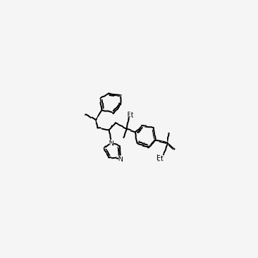 CCC(C)(C)c1ccc(C(C)(CC)CC(CC(C)c2ccccc2)n2ccnc2)cc1